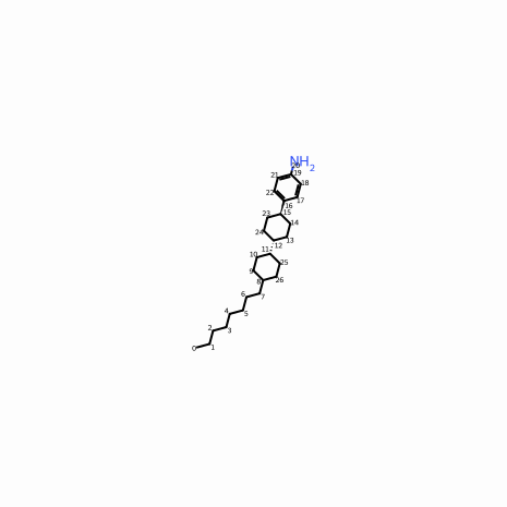 CCCCCCCCC1CCC([C@H]2CC[C@H](c3ccc(N)cc3)CC2)CC1